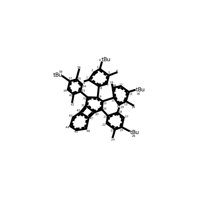 Cc1cc(C(C)(C)C)c(C)cc1-c1c(-c2cc(C)c(C(C)(C)C)cc2C)c(-c2cc(C)c(C(C)(C)C)cc2C)c2c(c1-c1cc(C)c(C(C)(C)C)cc1C)=c1ccccc1=2